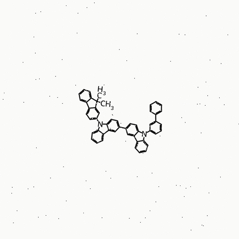 CC1(C)c2ccccc2-c2ccc(-n3c4ccccc4c4cc(-c5ccc6c(c5)c5ccccc5n6-c5cccc(-c6ccccc6)c5)ccc43)cc21